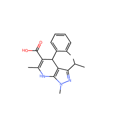 CC1=C(C(=O)O)C(c2ccccc2C)c2c(C(C)C)nn(C)c2N1